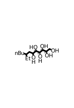 CCCCC(CC)CC(O)[C@@H](O)[C@@H](O)[C@H](O)[C@H](O)CO